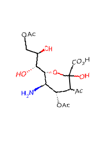 CC(=O)OC[C@@H](O)[C@@H](O)[C@@H]1OC(O)(C(=O)O)C(C(C)=O)[C@H](OC(C)=O)[C@H]1N